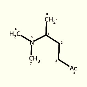 [CH2]C(CCC(C)=O)N(C)C